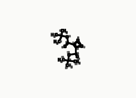 CC(C)(C)OC(=O)c1ooc1C(=O)OC(C)(C)C